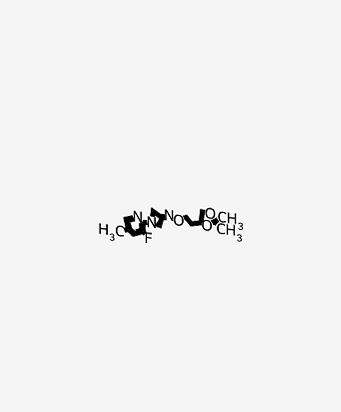 Cc1cnc(N2CC(=NOCCC3COC(C)(C)O3)C2)c(F)c1